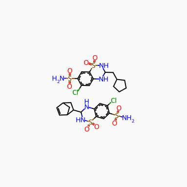 NS(=O)(=O)c1cc2c(cc1Cl)NC(C1CC3C=CC1C3)NS2(=O)=O.NS(=O)(=O)c1cc2c(cc1Cl)NC(CC1CCCC1)NS2(=O)=O